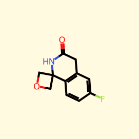 O=C1Cc2cc(F)ccc2C2(COC2)N1